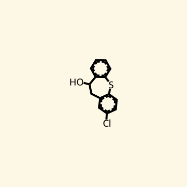 OC1Cc2cc(Cl)ccc2Sc2ccccc21